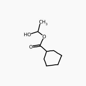 CC(O)OC(=O)C1CCCCC1